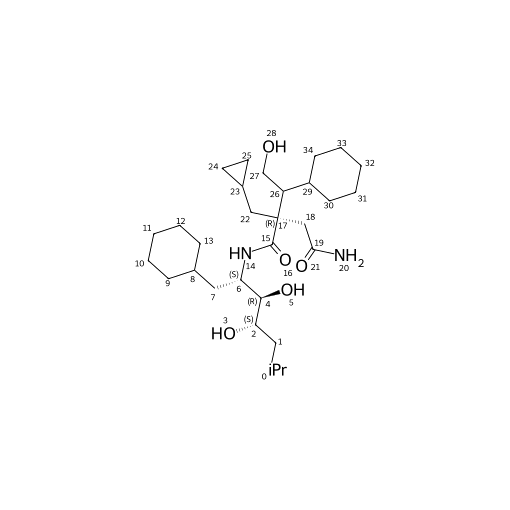 CC(C)C[C@H](O)[C@H](O)[C@H](CC1CCCCC1)NC(=O)[C@@](CC(N)=O)(CC1CC1)C(CO)C1CCCCC1